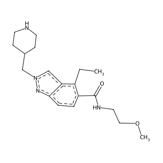 CCc1c(C(=O)NCCOC)ccc2nn(CC3CCNCC3)cc12